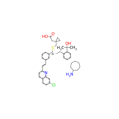 CC(C)(O)c1ccccc1CC[C@@H](SCC1(CC(=O)O)CC1)c1cccc(C=Cc2ccc3ccc(Cl)cc3n2)c1.NC1CCCCCC1